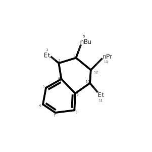 CCCCC1C(CC)c2ccccc2C(CC)C1CCC